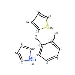 Cc1ccccc1C.c1cc[nH]c1.c1ccsc1